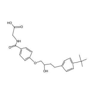 CC(C)(C)c1ccc(CCC(O)COc2ccc(C(=O)NCC(=O)O)cc2)cc1